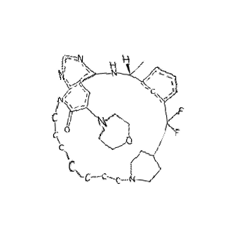 C[C@H]1Nc2ncnc3c2cc(N2CCOCC2)c(=O)n3CCCCCCCN2CCC(CC2)C(F)(F)c2cccc1c2